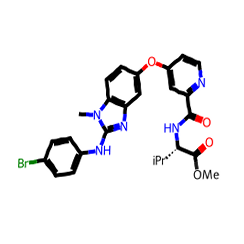 COC(=O)[C@@H](NC(=O)c1cc(Oc2ccc3c(c2)nc(Nc2ccc(Br)cc2)n3C)ccn1)C(C)C